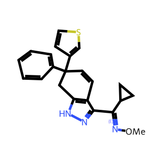 CO/N=C(/c1n[nH]c2c1C=CC(c1ccccc1)(c1ccsc1)C2)C1CC1